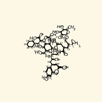 CC[C@@H](COC1O[C@@H](C)C(O)[C@H](O)[C@@H]1O)CC(C[C@H](C)O[C@@H]1O[C@@H](CO)[C@H](O)C(O[C@@H](CC2CCCCC2)C(=O)O)C1NC(C)=O)C(=O)NCCNC(=O)Cc1cc(=O)oc2cc(O)ccc12